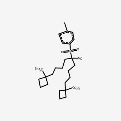 [C-]#[N+]C(CCCCC1(C(=O)OCC)CCC1)(CCCCC1(C(=O)OCC)CCC1)S(=O)(=O)c1ccc(C)cc1